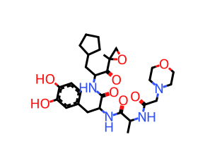 CC(NC(=O)CN1CCOCC1)C(=O)NC(Cc1ccc(O)c(O)c1)C(=O)NC(CC1CCCC1)C(=O)C1(C)CO1